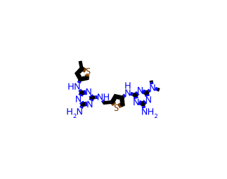 Cc1cc(Nc2nc(N)nc(NCc3cc(Nc4nc(N)nc(N(C)C)n4)cs3)n2)cs1